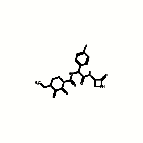 CCN1CCN(C(=O)NC(C(=O)NC2CNC2=O)c2ccc(Cl)cc2)C(=O)C1=O